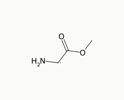 COC(=O)[CH]N